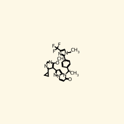 CCn1cc(C(F)(F)F)nc1-c1ccc([C@@H](C)n2c(=O)ccn3nc(-c4c(OC)ncnc4C4CC4)cc23)cc1